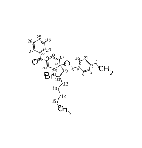 C=Cc1ccc(COC2(CC(Br)CCCCC)C=CC(C(=O)c3ccccc3)=CC2)cc1